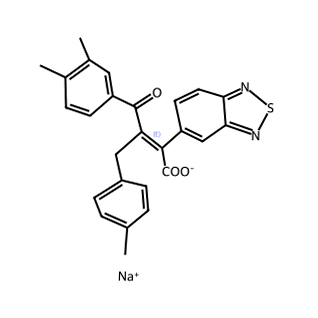 Cc1ccc(C/C(C(=O)c2ccc(C)c(C)c2)=C(\C(=O)[O-])c2ccc3nsnc3c2)cc1.[Na+]